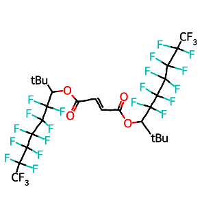 CC(C)(C)C(OC(=O)/C=C/C(=O)OC(C(C)(C)C)C(F)(F)C(F)(F)C(F)(F)C(F)(F)C(F)(F)C(F)(F)F)C(F)(F)C(F)(F)C(F)(F)C(F)(F)C(F)(F)C(F)(F)F